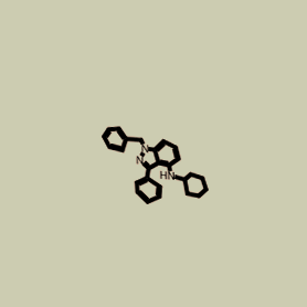 c1ccc(Cn2nc(-c3ccccc3)c3c(NC4CCCCC4)cccc32)cc1